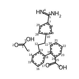 CC(=O)O.N=C(N)c1ccc(CCc2ccccc2-c2ccccc2C(=O)O)cc1